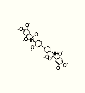 COc1cc(-c2ccc(NC(=O)c3cc(OC)c(OC)cc3OC)c(OC)c2)ccc1NC(=O)c1cc(OC)c(OC)cc1OC